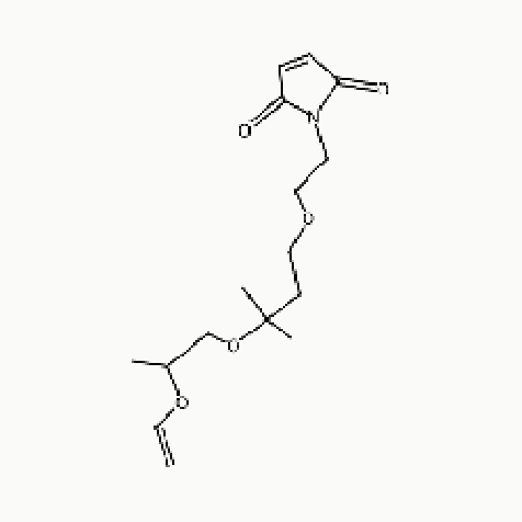 C=COC(C)COC(C)(C)CCOCCN1C(=O)C=CC1=O